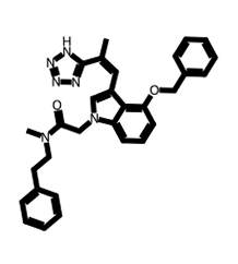 CC(=Cc1cn(CC(=O)N(C)CCc2ccccc2)c2cccc(OCc3ccccc3)c12)c1nnn[nH]1